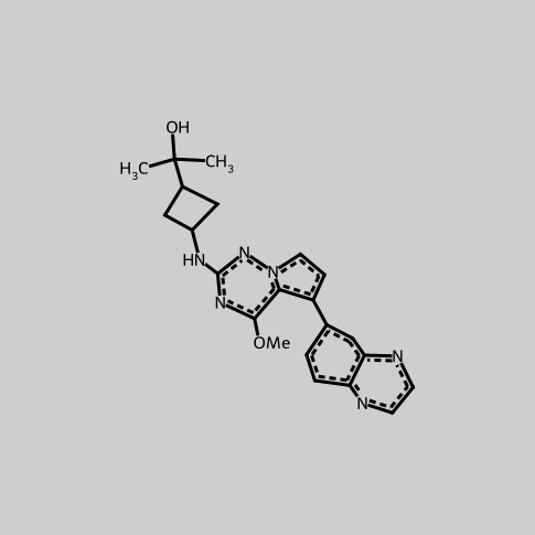 COc1nc(NC2CC(C(C)(C)O)C2)nn2ccc(-c3ccc4nccnc4c3)c12